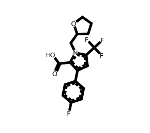 O=C(O)c1c(-c2ccc(F)cc2)cc(C(F)(F)F)n1CC1CCCO1